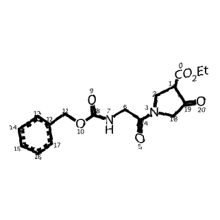 CCOC(=O)C1CN(C(=O)CNC(=O)OCc2ccccc2)CC1=O